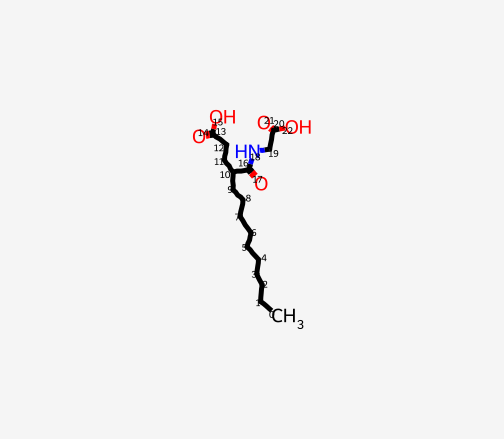 CCCCCCCCCCC(CCC(=O)O)C(=O)NCC(=O)O